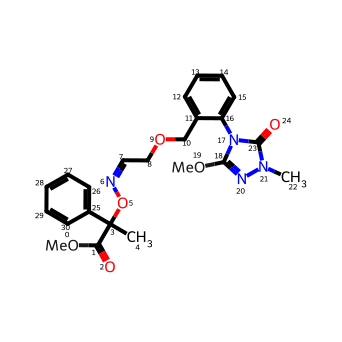 COC(=O)C(C)(O/N=C\COCc1ccccc1-n1c(OC)nn(C)c1=O)c1ccccc1